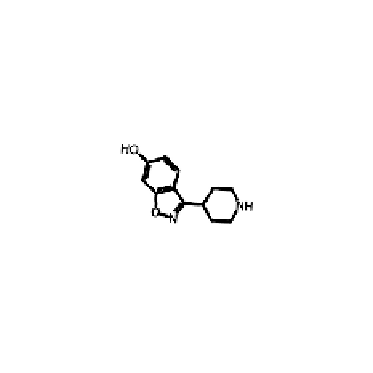 Oc1ccc2c(C3CCNCC3)noc2c1